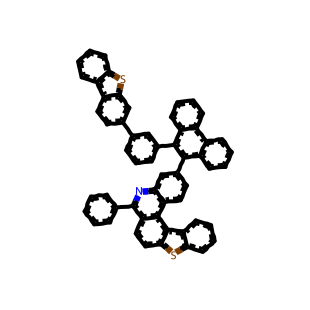 c1ccc(-c2nc3cc(-c4c(-c5cccc(-c6ccc7c(c6)sc6ccccc67)c5)c5ccccc5c5ccccc45)ccc3c3c2ccc2sc4ccccc4c23)cc1